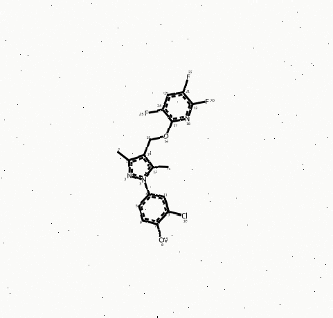 Cc1nn(-c2ccc(C#N)c(Cl)c2)c(C)c1COc1nc(F)c(F)cc1F